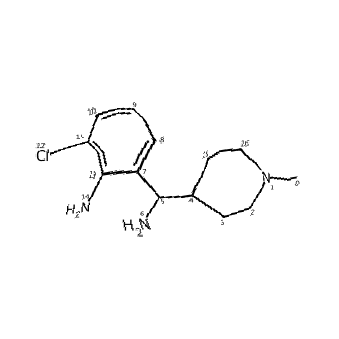 CN1CCC(C(N)c2cccc(Cl)c2N)CC1